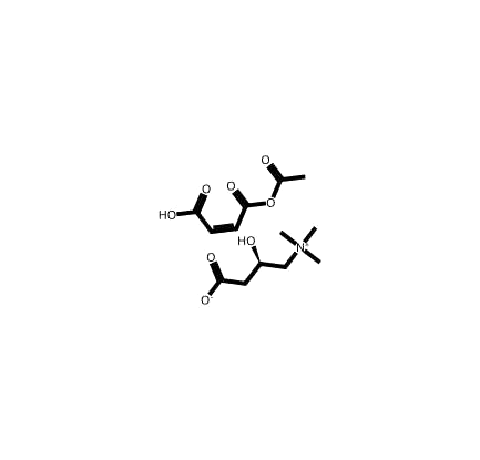 CC(=O)OC(=O)/C=C\C(=O)O.C[N+](C)(C)C[C@H](O)CC(=O)[O-]